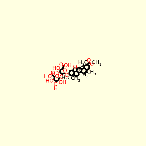 COC(=O)[C@@]1(C)CC[C@]2(C)CCC3C(=CC(=O)C4[C@@]3(C)CCC3C(C)(C)[C@@H](OC5OC(C(=O)O)C(O)C(O)C5OC5OC(C(=O)O)C(O)C(O)C5O)CC[C@@]34C)[C@@H]2C1